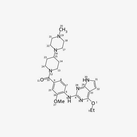 CCOc1nc(Nc2ccc(C(=O)N3CCC(N4CCN(C)CC4)CC3)cc2OC)nc2[nH]ccc12